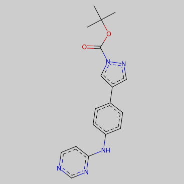 CC(C)(C)OC(=O)n1cc(-c2ccc(Nc3ccncn3)cc2)cn1